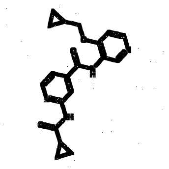 O=C(Nc1cnccc1OCC1CC1)c1ccnc(NC(=O)C2CC2)c1